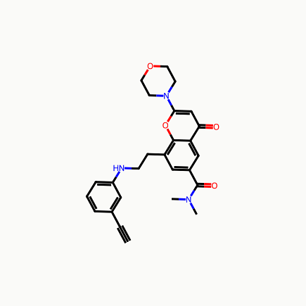 C#Cc1cccc(NCCc2cc(C(=O)N(C)C)cc3c(=O)cc(N4CCOCC4)oc23)c1